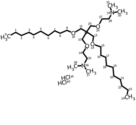 CCCCCCCCCCOCC(COCCCCCCCCCC)(COCCN(C)C)COCCN(C)C.Cl.Cl